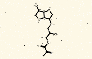 C=C(C)C(=O)OCC(O)COC1COC2C(O)COC12